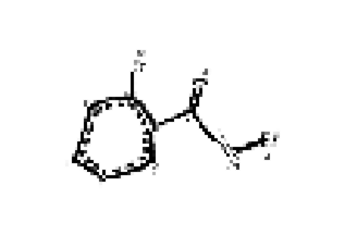 CCNC(=O)c1ccccc1CC